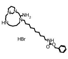 Br.NC1CN2CCCN(CCNCCCCN1CCCCCCCCCCNC(=O)OCc1ccccc1)C2